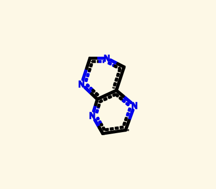 [c]1cnc2ncncc2n1